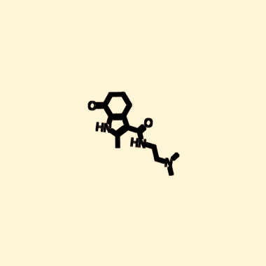 Cc1[nH]c2c(c1C(=O)NCCN(C)C)CCCC2=O